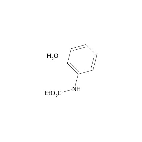 CCOC(=O)Nc1ccccc1.O